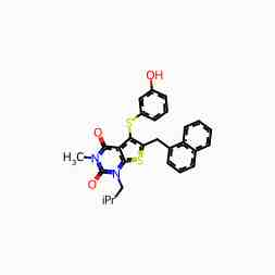 CC(C)Cn1c(=O)n(C)c(=O)c2c(Sc3cccc(O)c3)c(Cc3cccc4ccccc34)sc21